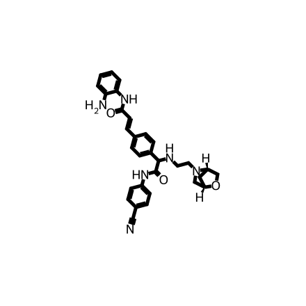 N#Cc1ccc(NC(=O)C(NCCN2C[C@@H]3C[C@H]2CO3)c2ccc(C=CC(=O)Nc3ccccc3N)cc2)cc1